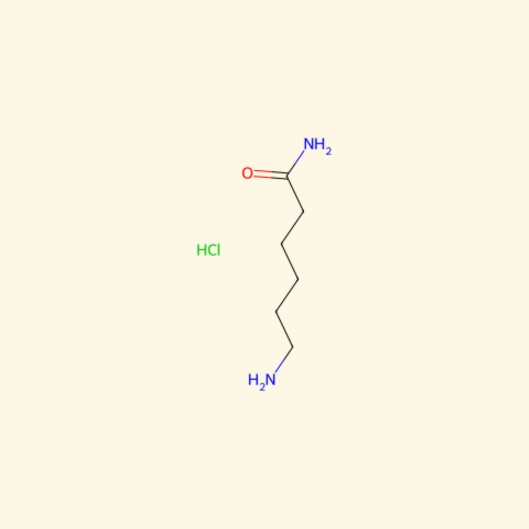 Cl.NCCCCCC(N)=O